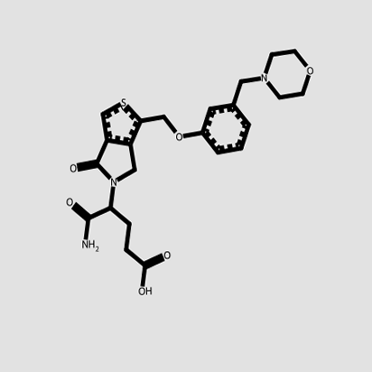 NC(=O)C(CCC(=O)O)N1Cc2c(csc2COc2cccc(CN3CCOCC3)c2)C1=O